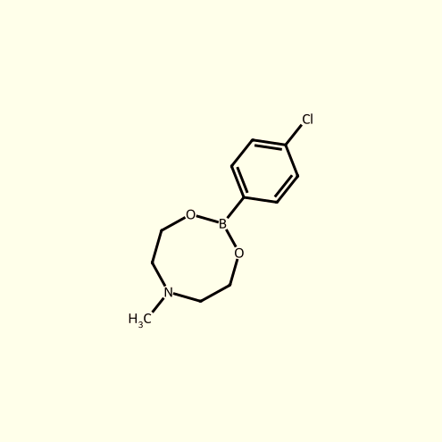 CN1CCOB(c2ccc(Cl)cc2)OCC1